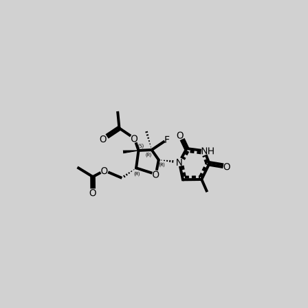 CC(=O)OC[C@H]1O[C@@H](n2cc(C)c(=O)[nH]c2=O)[C@](C)(F)[C@@]1(C)OC(C)=O